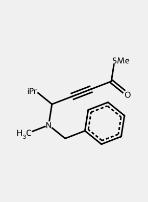 CSC(=O)C#CC(C(C)C)N(C)Cc1ccccc1